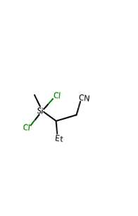 CCC(CC#N)[Si](C)(Cl)Cl